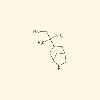 CCC(C)(C)N1CC2CNC(C2)C1